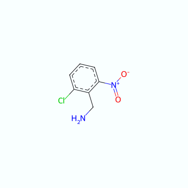 NCc1c(Cl)cccc1[N+](=O)[O-]